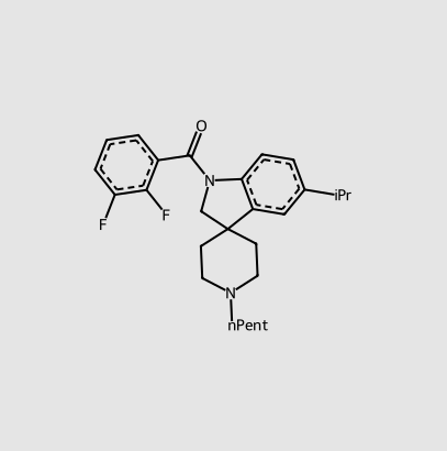 CCCCCN1CCC2(CC1)CN(C(=O)c1cccc(F)c1F)c1ccc(C(C)C)cc12